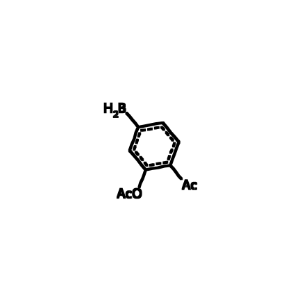 Bc1ccc(C(C)=O)c(OC(C)=O)c1